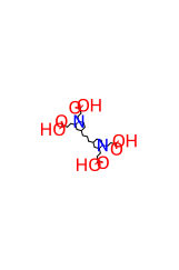 O=C(O)CCC1CC(CCCC2CCN(CCC(=O)O)C(CCC(=O)O)C2)CCN1CCC(=O)O